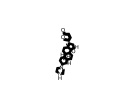 C[C@]12CCC(N3CCNCC3)C[C@H]1CC[C@@H]1[C@@H]2CC[C@]2(C)[C@@H](c3ccc(=O)oc3)C[C@H]3O[C@]132